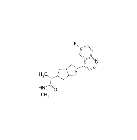 CNC(=O)C(C)C1CC2C=C(c3ccnc4ccc(F)cc34)CC2C1